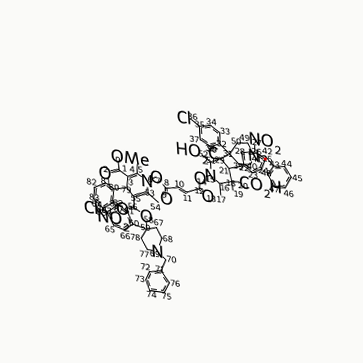 COC(=O)C1=C(C)N(OC(=O)/C=C/C(=O)ON2C(C)C(C)(C(=O)O)C(c3cccc([N+](=O)[O-])c3)C(C(=O)O)(C3(c4ccc(Cl)cc4)CCN(Cc4ccccc4)CC3)C2C)C(C)=C(C(=O)OC2(c3ccc(Cl)cc3)CCN(Cc3ccccc3)CC2)C1c1cccc([N+](=O)[O-])c1